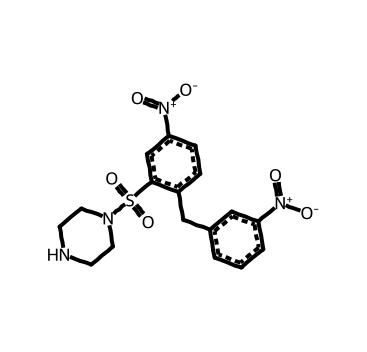 O=[N+]([O-])c1cccc(Cc2ccc([N+](=O)[O-])cc2S(=O)(=O)N2CCNCC2)c1